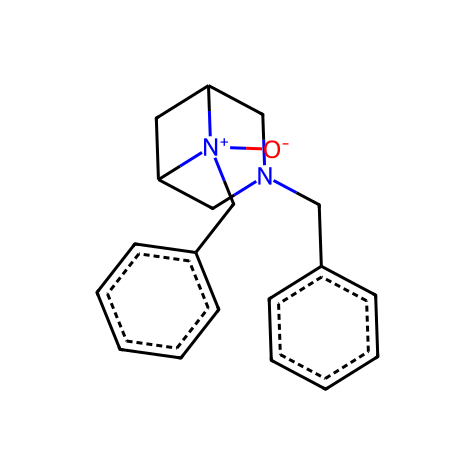 [O-][N+]1(Cc2ccccc2)C2CC1CN(Cc1ccccc1)C2